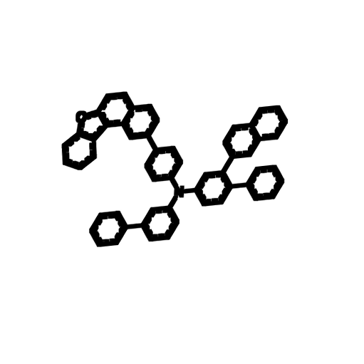 c1ccc(-c2cccc(N(c3ccc(-c4ccc5ccc6oc7ccccc7c6c5c4)cc3)c3ccc(-c4ccccc4)c(-c4ccc5ccccc5c4)c3)c2)cc1